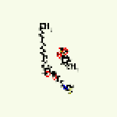 CCCCCCCCCCCCCC[C@H]1CO[C@H](COCCCC[n+]2ccsc2)C1.Cc1ccc(S(=O)(=O)[O-])cc1